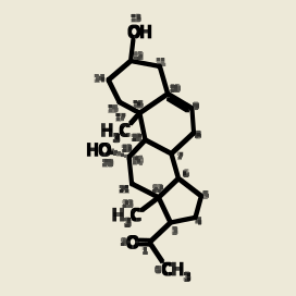 CC(=O)C1CCC2C3CC=C4CC(O)CCC4(C)C3[C@@H](O)CC12C